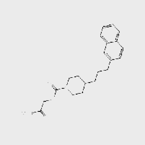 CNC(=O)COC(=O)N1CCC(CCCc2ccc3ccccc3c2)CC1